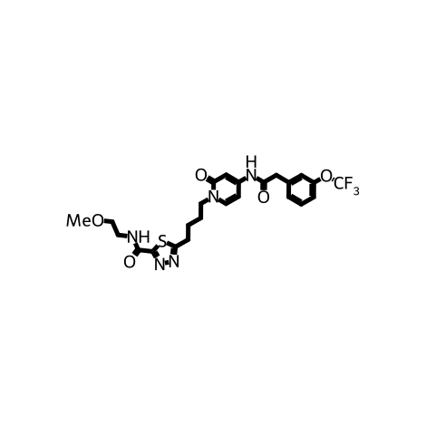 COCCNC(=O)c1nnc(CCCCn2ccc(NC(=O)Cc3cccc(OC(F)(F)F)c3)cc2=O)s1